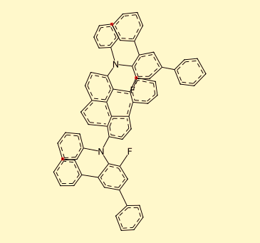 Fc1cc(-c2ccccc2)cc(-c2ccccc2)c1N(c1ccccc1)c1ccc2c3ccccc3c3c(N(c4ccccc4)c4c(F)cc(-c5ccccc5)cc4-c4ccccc4)ccc4ccc1c2c43